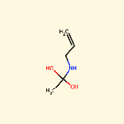 C=CCNC(C)(O)O